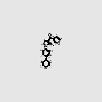 O=C1c2ccsc2N=C2C1CCN2c1ccc(C2CCCCC2)cc1